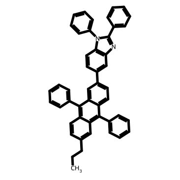 CCCc1ccc2c(-c3ccccc3)c3cc(-c4ccc5c(c4)nc(-c4ccccc4)n5-c4ccccc4)ccc3c(-c3ccccc3)c2c1